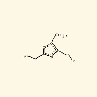 O=C(O)c1sc(CBr)nc1CBr